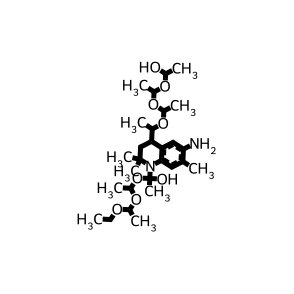 CCOC(C)OC(C)OC(C)(O)N1c2cc(C)c(N)cc2C(C(C)OC(C)OC(C)OC(C)O)CC1(C)C